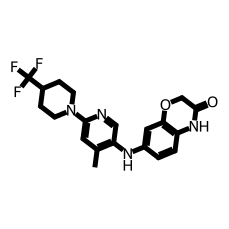 Cc1cc(N2CCC(C(F)(F)F)CC2)ncc1Nc1ccc2c(c1)OCC(=O)N2